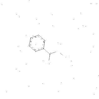 [SiH3]OC(c1ccccc1)C(Cl)(Cl)Cl